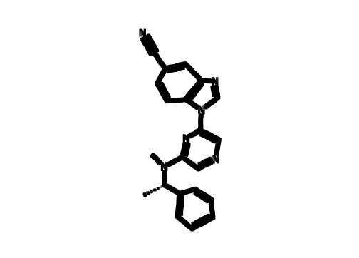 C[C@@H](c1ccccc1)N(C)c1cncc(-n2cnc3cc(C#N)ccc32)n1